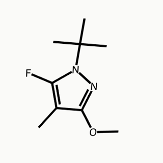 COc1nn(C(C)(C)C)c(F)c1C